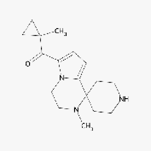 CN1CCn2c(C(=O)C3(C)CC3)ccc2C12CCNCC2